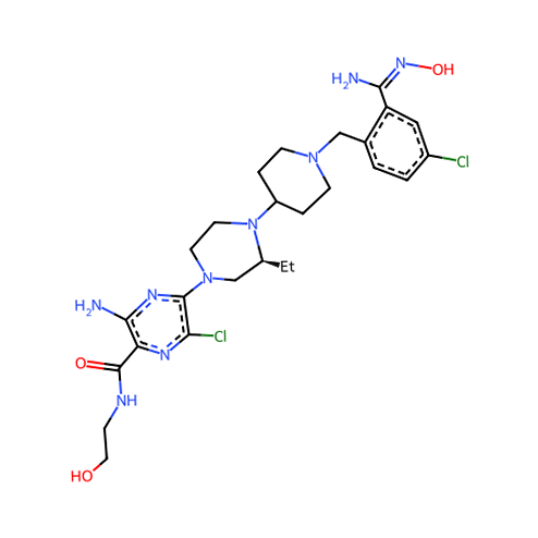 CC[C@H]1CN(c2nc(N)c(C(=O)NCCO)nc2Cl)CCN1C1CCN(Cc2ccc(Cl)cc2/C(N)=N\O)CC1